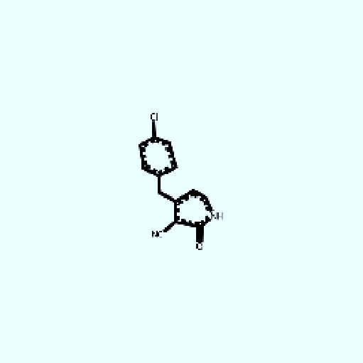 N#Cc1c(Cc2ccc(Cl)cc2)cc[nH]c1=O